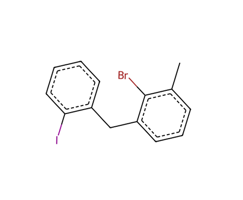 Cc1cccc(Cc2ccccc2I)c1Br